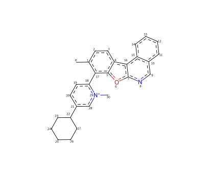 Cc1ccc2c(oc3ncc4ccccc4c32)c1-c1ccc(C2CCCCC2)c[n+]1C